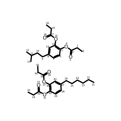 CCC(=O)Oc1ccc(CCC(C)C)cc1OC(=O)CC.CCCCCCc1ccc(OC(=O)CC)c(OC(=O)CC)c1